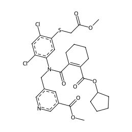 COC(=O)CSc1cc(N(Cc2cncc(C(=O)OC)c2)C(=O)C2=C(C(=O)OC3CCCC3)CCCC2)c(Cl)cc1Cl